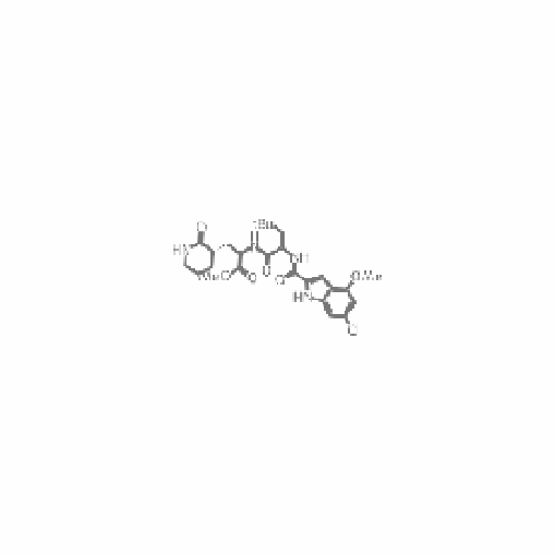 COC(=O)C(C[C@@H]1CCCNC1=O)NC(=O)C(CC(C)(C)C)NC(=O)c1cc2c(OC)cc(Cl)cc2[nH]1